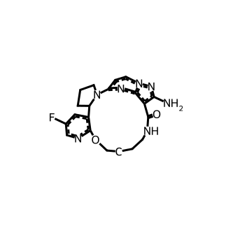 Nc1nn2ccc3nc2c1C(=O)NCCCCOc1ncc(F)cc1C1CCCN31